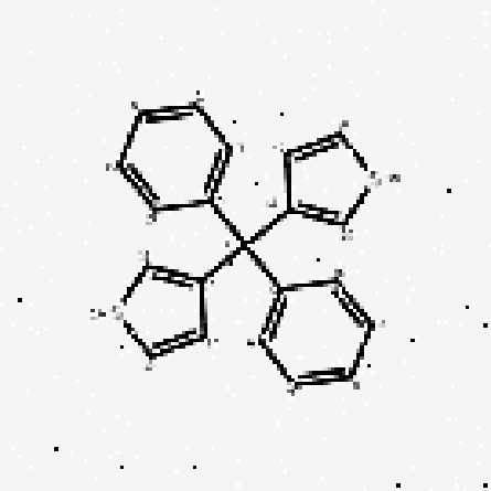 c1ccc(C(c2ccccc2)(c2ccsc2)c2ccsc2)cc1